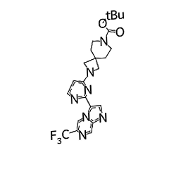 CC(C)(C)OC(=O)N1CCC2(CC1)CN(c1ccnc(-c3cnc4cnc(C(F)(F)F)cn34)n1)C2